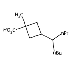 CCCCC(CCC)C1CC(C)(C(=O)O)C1